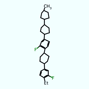 CCc1ccc(C2CCC(c3ccc(C4CCC(C5CCC(C)CC5)CC4)cc3F)CC2)cc1F